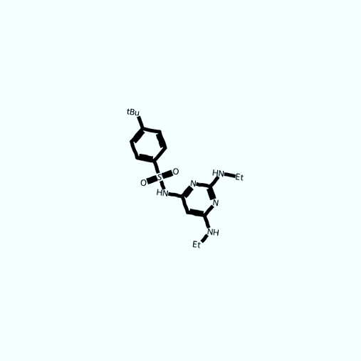 CCNc1cc(NS(=O)(=O)c2ccc(C(C)(C)C)cc2)nc(NCC)n1